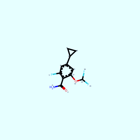 NC(=O)c1c(F)cc(C2CC2)cc1OC(F)F